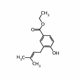 CCOC(=O)c1ccc(O)c(CC=C(C)C)c1